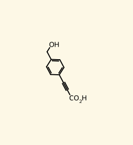 O=C(O)C#Cc1ccc(CO)cc1